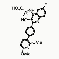 COc1ccc(-c2ccc(-c3nc4ccc(F)cc4c(N[C@H](C)C(=O)O)c3C#N)cc2)c(OC)n1